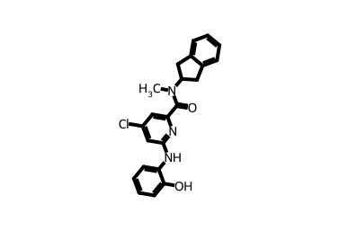 CN(C(=O)c1cc(Cl)cc(Nc2ccccc2O)n1)C1Cc2ccccc2C1